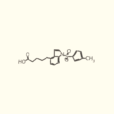 Cc1ccc(S(=O)(=O)n2ccc3c(CCCCC(=O)O)cccc32)cc1